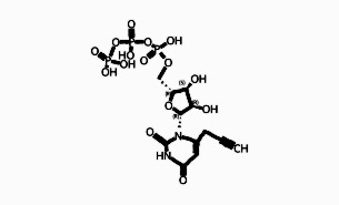 C#CCc1cc(=O)[nH]c(=O)n1[C@@H]1O[C@H](COP(=O)(O)OP(=O)(O)OP(=O)(O)O)[C@@H](O)[C@H]1O